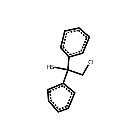 SC(CCl)(c1ccccc1)c1ccccc1